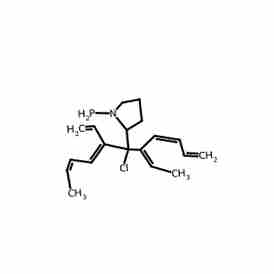 C=C/C=C\C(=C/C)C(Cl)(/C(C=C)=C/C=C\C)C1CCCN1P